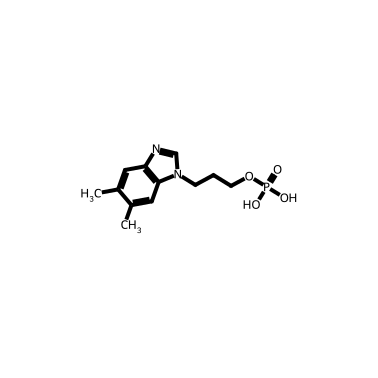 Cc1cc2ncn(CCCOP(=O)(O)O)c2cc1C